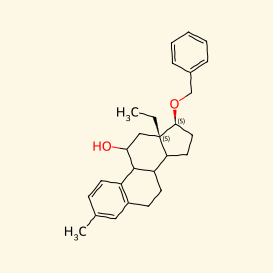 CC[C@]12CC(O)C3c4ccc(C)cc4CCC3C1CC[C@@H]2OCc1ccccc1